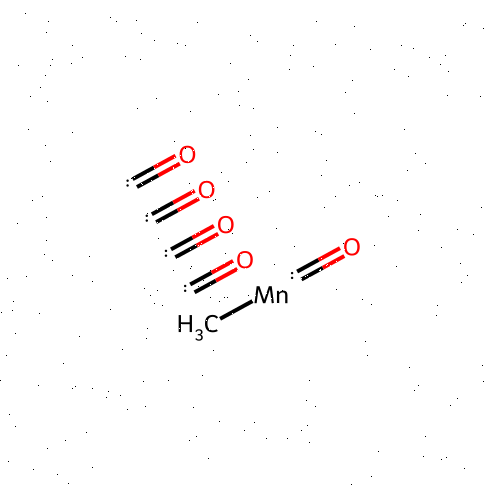 [CH3][Mn].[C]=O.[C]=O.[C]=O.[C]=O.[C]=O